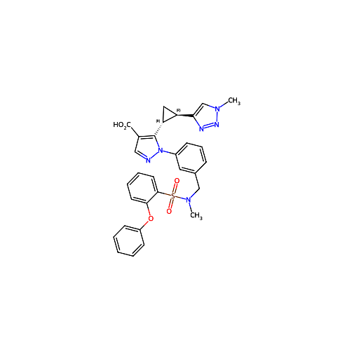 CN(Cc1cccc(-n2ncc(C(=O)O)c2[C@@H]2C[C@H]2c2cn(C)nn2)c1)S(=O)(=O)c1ccccc1Oc1ccccc1